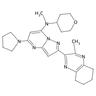 Cc1nc2c(nc1-c1cc3nc(N4CCCC4)cc(N(C)C4CCOCC4)n3n1)CCCC2